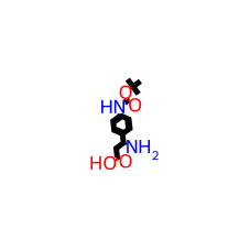 CC(C)(C)OC(=O)Nc1ccc([C@H](N)CC(=O)O)cc1